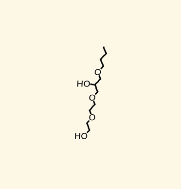 CCCCOCC(O)COCCOCCO